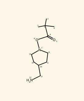 CC(C)(C)C(=O)ON1CCC(CN)CC1